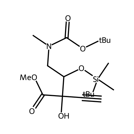 C#CC(O)(C(=O)OC)C(CN(C)C(=O)OC(C)(C)C)O[Si](C)(C)C(C)(C)C